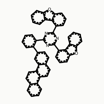 c1ccc(-c2nc(-c3cccc4oc5ccccc5c34)nc(-c3cccc4oc5ccccc5c34)n2)c(-c2ccc3ccc4c5ccccc5ccc4c3c2)c1